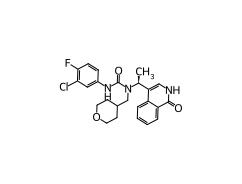 C[C@@H](c1c[nH]c(=O)c2ccccc12)N(CC1CCOCC1)C(=O)Nc1ccc(F)c(Cl)c1